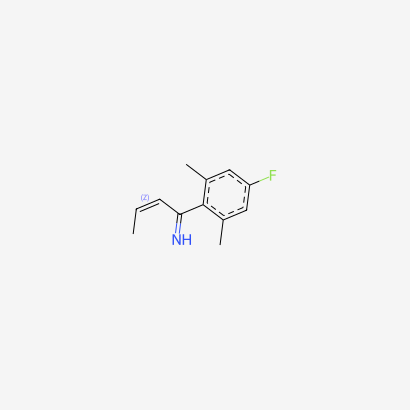 C/C=C\C(=N)c1c(C)cc(F)cc1C